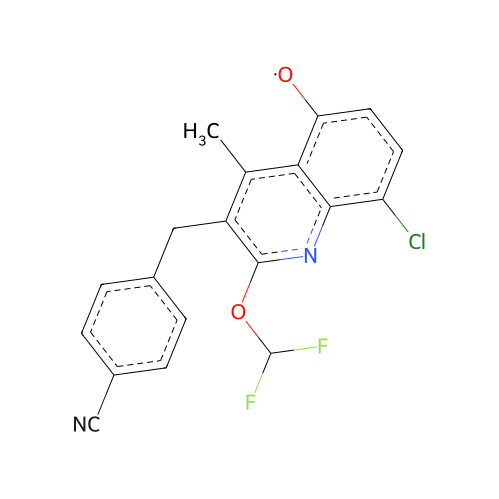 Cc1c(Cc2ccc(C#N)cc2)c(OC(F)F)nc2c(Cl)ccc([O])c12